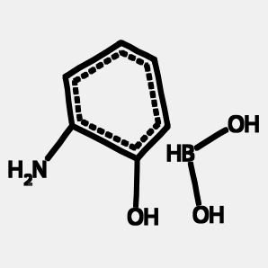 Nc1ccccc1O.OBO